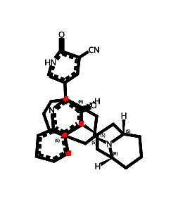 N#Cc1cc(-c2nc3ccccc3n([C@@H]3C[C@H]4CCC[C@@H](C3)N4[C@@H]3C[C@@H]4CCCC[C@@H](C4)C3)c2=O)c[nH]c1=O